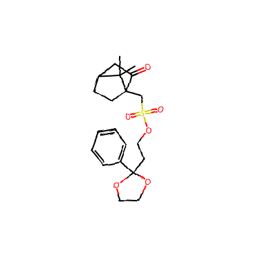 CC1(C)C2CCC1(CS(=O)(=O)OCCC1(c3ccccc3)OCCO1)C(=O)C2